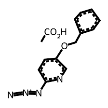 CC(=O)O.[N-]=[N+]=Nc1ccc(OCc2ccccc2)cn1